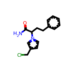 NC(=O)C(CCc1ccccc1)n1ccc(CCl)c1